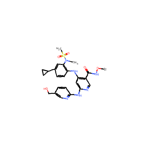 CCONC(=O)c1cnc(Nc2ccc(CO)cn2)cc1Nc1ccc(C2CC2)cc1N(C)S(C)(=O)=O